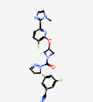 Cn1ccnc1-c1ccc(F)c(OC2CN(C(=O)N3N=CC[C@H]3c3cc(F)cc(C#N)c3)C2)n1